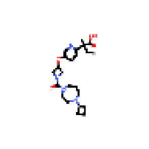 CCC(C)(C(=O)O)c1ccc(OC2CN(C(=O)N3CCCN(C4CCC4)CC3)C2)cn1